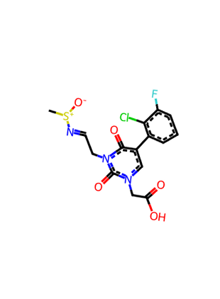 C[S+]([O-])N=CCn1c(=O)c(-c2cccc(F)c2Cl)cn(CC(=O)O)c1=O